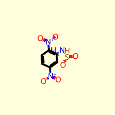 N[SH](=O)=O.O=[N+]([O-])c1ccc([N+](=O)[O-])cc1